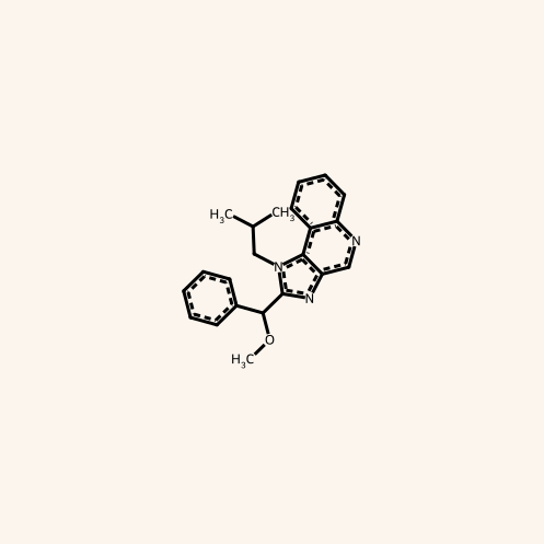 COC(c1ccccc1)c1nc2cnc3ccccc3c2n1CC(C)C